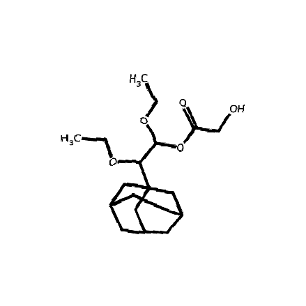 CCOC(OC(=O)CO)C(OCC)C12CC3CC(CC(C3)C1)C2